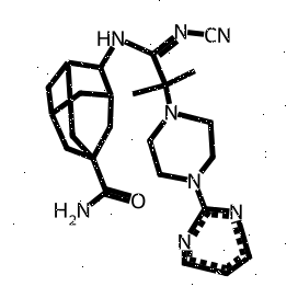 CC(C)(/C(=N\C#N)NC1C2CC3CC1CC(C(N)=O)(C3)C2)N1CCN(c2ncccn2)CC1